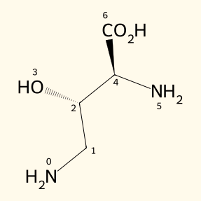 NC[C@H](O)[C@H](N)C(=O)O